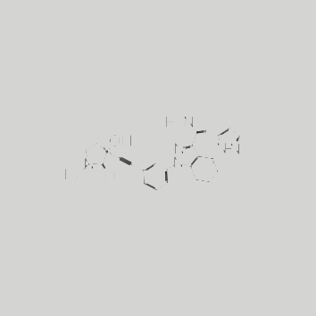 CN1CC[C@@](O)(C#Cc2cccc(-n3nc(C(N)=O)c4c3CCC[C@@H]4n3cccn3)c2)C1=O